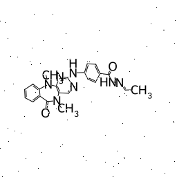 CC=NNC(=O)c1ccc(Nc2ncc3c(n2)N(C)c2ccccc2C(=O)N3C)cc1